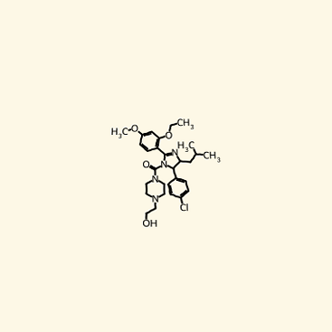 CCOc1cc(OC)ccc1C1=NC(CC(C)C)C(c2ccc(Cl)cc2)N1C(=O)N1CCN(CCO)CC1